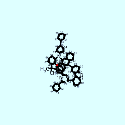 CC1(C)c2ccccc2-c2c(N(c3ccc(-c4ccccc4)cc3)c3ccc(-c4ccc5oc6cccc(-c7nc(-c8ccccc8)nc(-c8ccccc8)n7)c6c5c4)c4ccccc34)cccc21